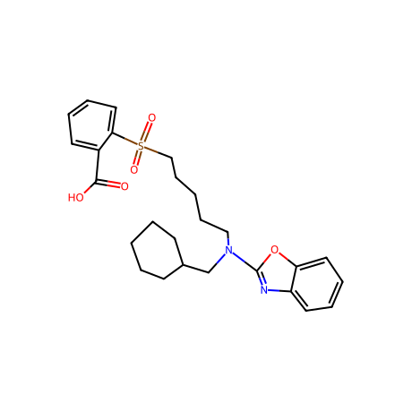 O=C(O)c1ccccc1S(=O)(=O)CCCCCN(CC1CCCCC1)c1nc2ccccc2o1